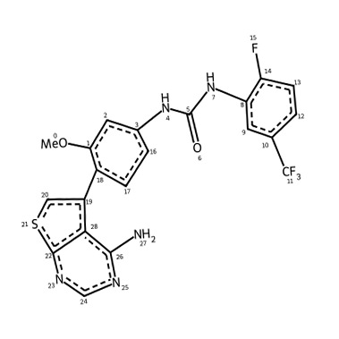 COc1cc(NC(=O)Nc2cc(C(F)(F)F)ccc2F)ccc1-c1csc2ncnc(N)c12